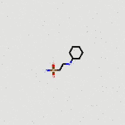 NS(=O)(=O)CCNC1CCCCC1